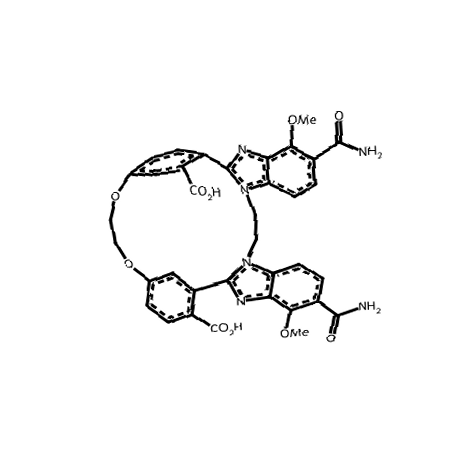 COc1c(C(N)=O)ccc2c1nc1n2CCn2c(nc3c(OC)c(C(N)=O)ccc32)-c2cc(ccc2C(=O)O)OCCOc2ccc-1c(C(=O)O)c2